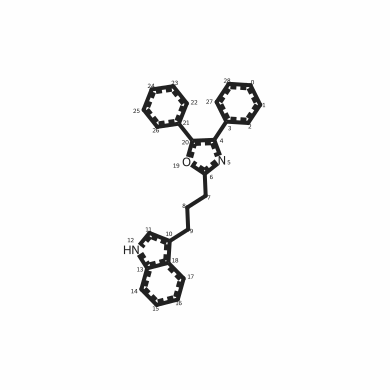 c1ccc(-c2nc(CCCc3c[nH]c4ccccc34)oc2-c2ccccc2)cc1